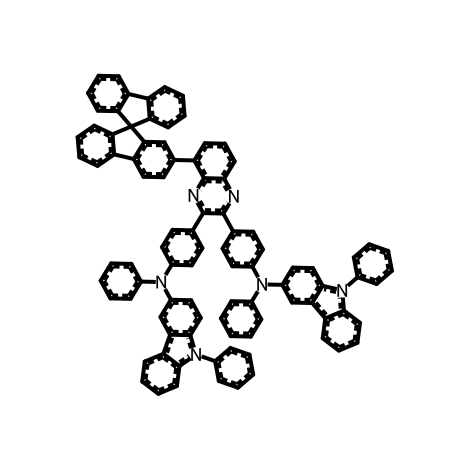 c1ccc(N(c2ccc(-c3nc4cccc(-c5ccc6c(c5)C5(c7ccccc7-c7ccccc75)c5ccccc5-6)c4nc3-c3ccc(N(c4ccccc4)c4ccc5c(c4)c4ccccc4n5-c4ccccc4)cc3)cc2)c2ccc3c(c2)c2ccccc2n3-c2ccccc2)cc1